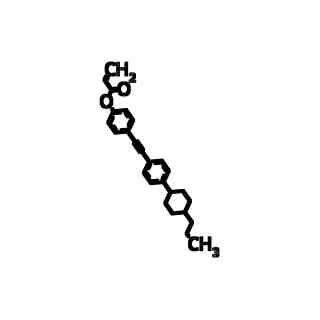 C=CC(=O)Oc1ccc(C#Cc2ccc(C3CCC(CCC)CC3)cc2)cc1